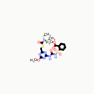 COC(=O)c1ccccc1S(=O)(=O)NC(=O)Nc1nc(CSC(=O)N(SC)SC)nc(OC)n1